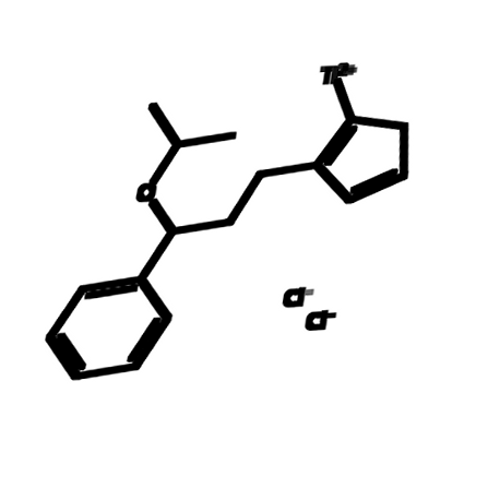 CC(C)OC(CCC1=[C]([Ti+2])CC=C1)c1ccccc1.[Cl-].[Cl-]